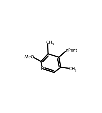 CCCCCc1c(C)cnc(OC)c1C